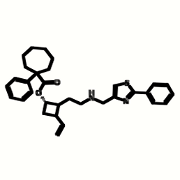 C=CC1C[C@H](OC(=O)C2(c3ccccc3)CCCCCC2)C1CCNCc1csc(-c2ccccc2)n1